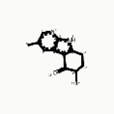 Cc1cnc2[nH]c3c(c2c1)C(=O)C(Br)CC3